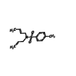 C=CCN(CC=CC)S(=O)(=O)c1ccc(C)cc1